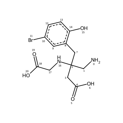 NCC(CC(=O)O)(Cc1cc(Br)ccc1O)NCC(=O)O